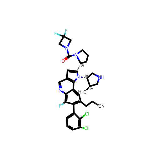 C[C@@H]1CNC[C@H]1n1c([C@H]2CCCN2C(=O)N2CC(F)(F)C2)cc2cnc3c(F)c(-c4cccc(Cl)c4Cl)c(CCC#N)cc3c21